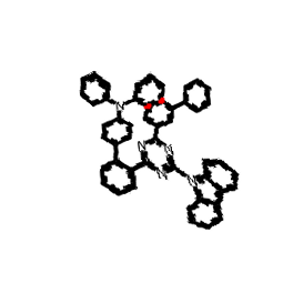 c1ccc(-c2cccc(-c3nc(-c4ccccc4-c4ccc(N(c5ccccc5)c5ccccc5)cc4)nc(-n4c5ccccc5c5ccccc54)n3)c2)cc1